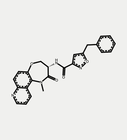 CN1C(=O)[C@@H](NC(=O)c2cc(Cc3ccccc3)on2)COc2ccc3ncccc3c21